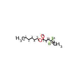 CCCCCCOC(=O)CC[Si](C)(F)F